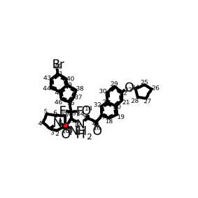 NC1CC2CCC(C1)N2C(=O)C(NC(=O)C(=O)c1ccc2cc(OC3CCCC3)ccc2c1)C(F)(F)c1ccc2cc(Br)ccc2c1